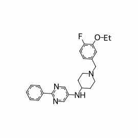 CCOc1cc(CN2CCC(Nc3cnc(-c4ccccc4)nc3)CC2)ccc1F